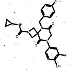 N#Cc1ccc(N2CC(=O)N(Cc3ccc(C(F)(F)F)cc3)C3(CN(C(=O)NC4CC4)C3)C2=O)cc1F